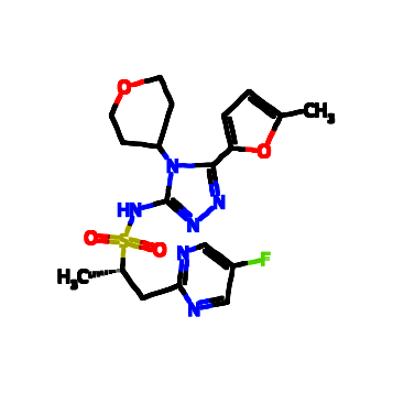 Cc1ccc(-c2nnc(NS(=O)(=O)[C@@H](C)Cc3ncc(F)cn3)n2C2CCOCC2)o1